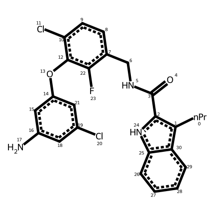 CCCc1c(C(=O)NCc2ccc(Cl)c(Oc3cc(N)cc(Cl)c3)c2F)[nH]c2ccccc12